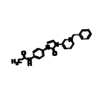 CC(=O)Nc1ccc(-n2ccn(C3=CCCN(Cc4ccccc4)C3)c2=O)cc1